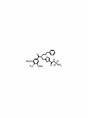 COc1cc(C(=O)N(CCCc2ccccc2)Cc2nc(C(=O)NS(N)(=O)=O)cs2)cc(OC)c1C